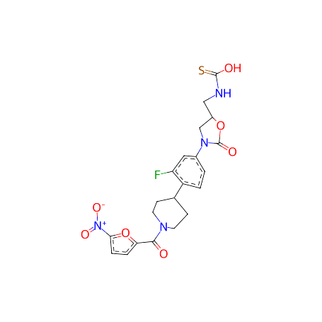 O=C(c1ccc([N+](=O)[O-])o1)N1CCC(c2ccc(N3CC(CNC(O)=S)OC3=O)cc2F)CC1